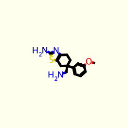 COc1cccc(C2(CN)CCc3nc(N)sc3C2)c1